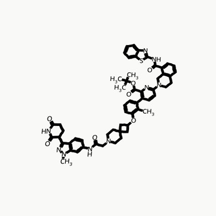 Cc1c(OC2CC3(CCN(CC(=O)Nc4ccc5c(C6CCC(=O)NC6=O)nn(C)c5c4)CC3)C2)cccc1-c1ccc(N2CCc3cccc(C(=O)Nc4nc5ccccc5s4)c3C2)nc1C(=O)OC(C)(C)C